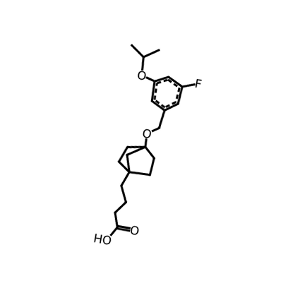 CC(C)Oc1cc(F)cc(COC23CCC(CCCC(=O)O)(CC2)C3)c1